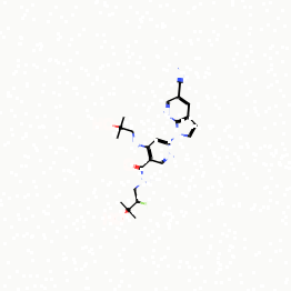 CC(C)(O)CNc1cc(-n2ccc3cc(C#N)cnc32)ncc1C(=O)NCC(F)C(C)(C)O